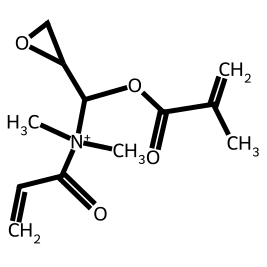 C=CC(=O)[N+](C)(C)C(OC(=O)C(=C)C)C1CO1